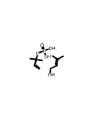 C=CC(C)(C)OP(=O)(O)O.CC(C)=CCO